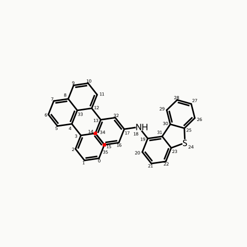 c1ccc(-c2cccc3cccc(-c4cccc(Nc5cccc6sc7ccccc7c56)c4)c23)cc1